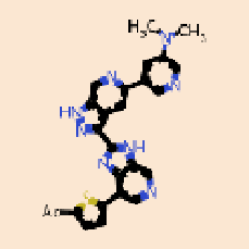 CC(=O)c1ccc(-c2cncc3[nH]c(-c4n[nH]c5cnc(-c6cncc(N(C)C)c6)cc45)nc23)s1